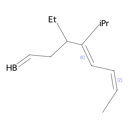 B=CCC(CC)/C(=C/C=C\C)C(C)C